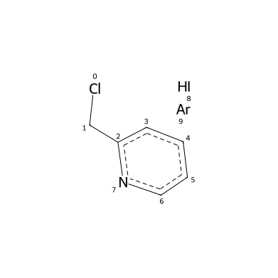 ClCc1ccccn1.I.[Ar]